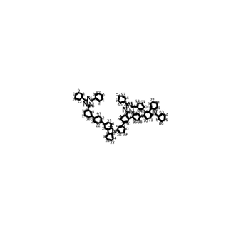 c1ccc(-c2nc(-c3ccccc3)nc(-c3cccc(-c4ccc(-c5ccc6c(c5)c5ccccc5n6-c5cccc(-c6ccc(-c7nc(-c8ccccc8)nc(-c8ccccc8)n7)c(-c7ccc(-c8ccc9c(c8)c8ccccc8n9-c8ccccc8)cc7)c6)c5)cc4)c3)n2)cc1